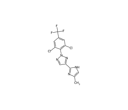 Cc1c[nH]c(-c2cnn(-c3c(Cl)cc(C(F)(F)F)cc3Cl)n2)n1